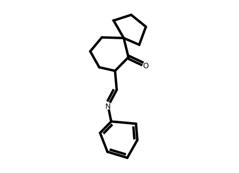 O=C1C(C=Nc2ccccc2)CCCC12CCCC2